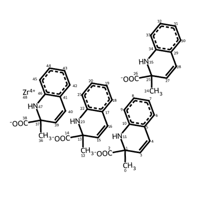 CC1(C(=O)[O-])C=Cc2ccccc2N1.CC1(C(=O)[O-])C=Cc2ccccc2N1.CC1(C(=O)[O-])C=Cc2ccccc2N1.CC1(C(=O)[O-])C=Cc2ccccc2N1.[Zr+4]